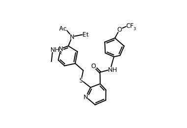 CCN(C(C)=O)c1cc(CSc2ncccc2C(=O)Nc2ccc(OC(F)(F)F)cc2)ccn1.CN